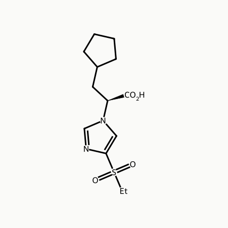 CCS(=O)(=O)c1cn([C@@H](CC2CCCC2)C(=O)O)cn1